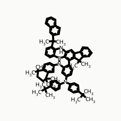 CC(C)(C)c1ccc(N(c2ccc(C(C)(C)C)cc2)c2ccc3c(c2)N(c2ccc4c(c2)C(C)(C)CCC4(C)C)B2c4cccc(C(C)(C)c5ccc6ccccc6c5)c4Nc4cc5c(c-3c42)C(C)(C)c2ccccc2-5)cc1